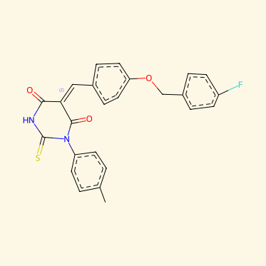 Cc1ccc(N2C(=O)/C(=C\c3ccc(OCc4ccc(F)cc4)cc3)C(=O)NC2=S)cc1